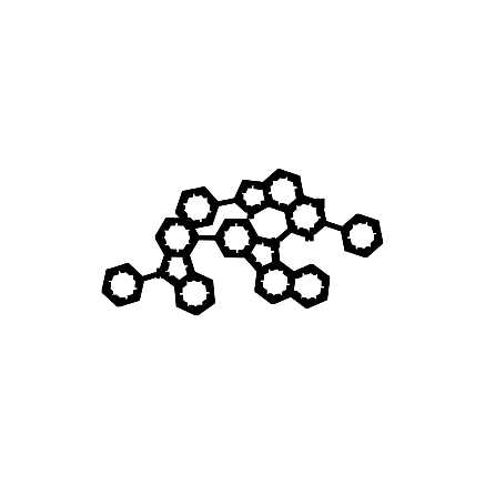 c1ccc(-c2nc(-n3c4ccc(-c5cccc6c5c5ccccc5n6-c5ccccc5)cc4c4ccc5ccccc5c43)c3c(ccc4cc(-c5ccccc5)sc43)n2)cc1